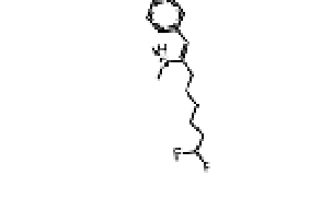 C[SiH](C)C(=Cc1ccccc1)CCCCCC(F)F